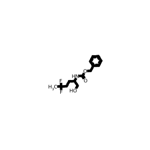 CC(F)(F)CCC(CO)NC(=O)OCc1ccccc1